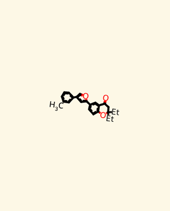 CCC1(CC)CC(=O)c2cc(-c3cc(-c4cccc(C)c4)co3)ccc2O1